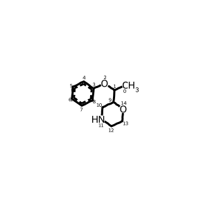 CC(Oc1cc[c]cc1)C1CNCCO1